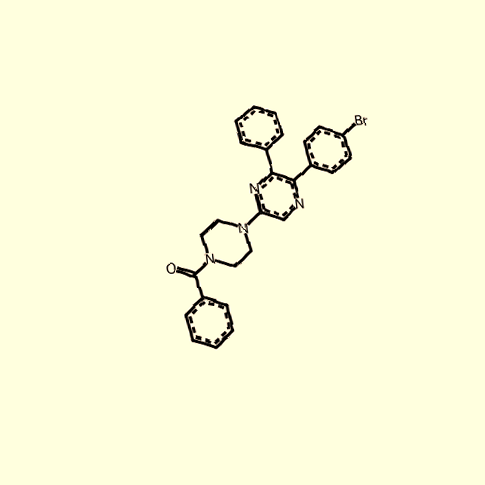 O=C(c1ccccc1)N1CCN(c2cnc(-c3ccc(Br)cc3)c(-c3ccccc3)n2)CC1